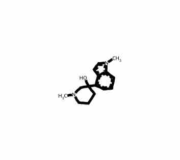 CN1CCCC(O)(c2cccc3c2ccn3C)C1